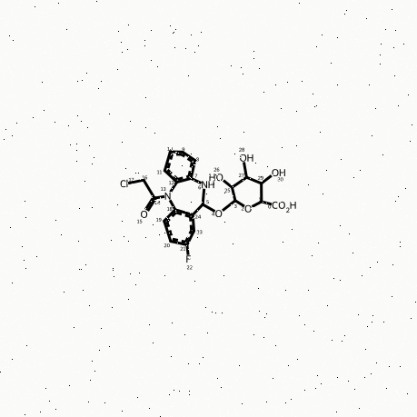 O=C(O)C1OC(OC2Nc3ccccc3N(C(=O)CCl)c3ccc(F)cc32)C(O)C(O)C1O